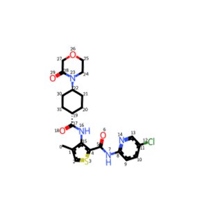 Cc1csc(C(=O)Nc2ccc(Cl)cn2)c1NC(=O)[C@H]1CC[C@H](N2CCOCC2=O)CC1